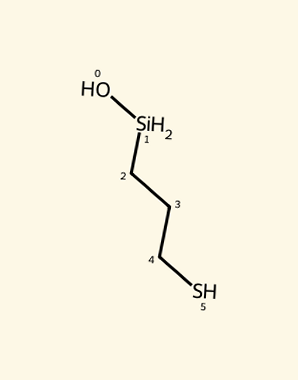 O[SiH2]CCCS